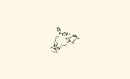 CC(=O)O.COP(=S)(OC)SCCc1ccccc1